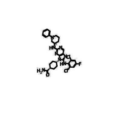 NC(=O)[C@H]1CC[C@H](n2c(Nc3c(Cl)cc(F)cc3Cl)nc3cnc(N[C@@H]4CCCN(c5ccccc5)C4)nc32)CC1